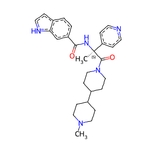 CN1CCC(C2CCN(C(=O)[C@@](C)(NC(=O)c3ccc4cc[nH]c4c3)c3ccncc3)CC2)CC1